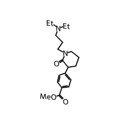 CCN(CC)CCCN1CCCC(c2ccc(C(=O)OC)cc2)C1=O